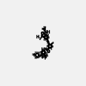 Cc1ccc(C(=O)Nc2ccc(CN3CCN(C)CC3)c(C(F)(F)F)c2)cc1C#Cc1cnc(C(=O)NC2CC2)c(P)c1